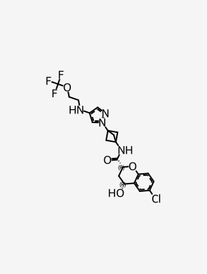 O=C(NC12CC(n3cc(NCCOC(F)(F)F)cn3)(C1)C2)[C@H]1C[C@@H](O)c2cc(Cl)ccc2O1